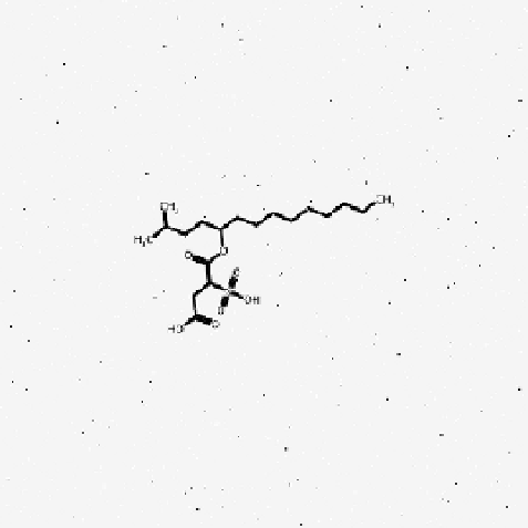 CCCCCCCCCC(CCC(C)C)OC(=O)C(CC(=O)O)S(=O)(=O)O